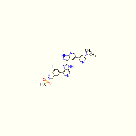 CN(C)c1cncc(-c2cnc3[nH]nc(-c4nc5c(-c6cc(F)cc(CNS(C)(=O)=O)c6)cncc5[nH]4)c3c2)c1